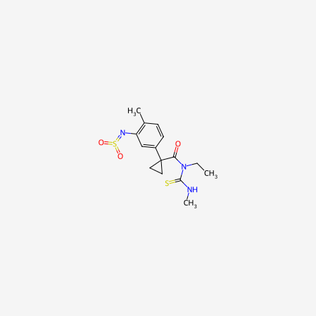 CCN(C(=O)C1(c2ccc(C)c(N=S(=O)=O)c2)CC1)C(=S)NC